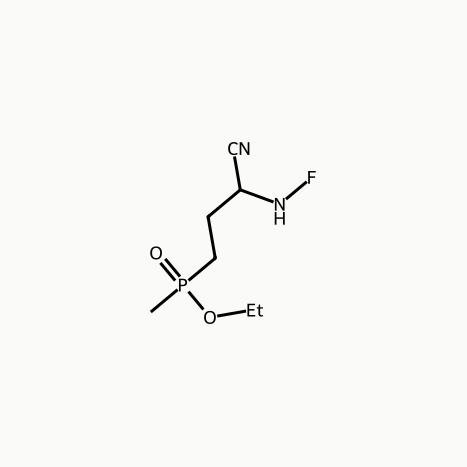 CCOP(C)(=O)CCC(C#N)NF